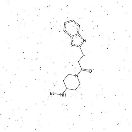 CCNC1CCN(C(=O)CCc2nc3ccccc3s2)CC1